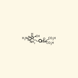 C#Cc1[nH]c2nc(N)nc(N)c2c1CCCc1ccc(C(=O)N[C@@H](CCC(=O)O)C(=O)O)cc1